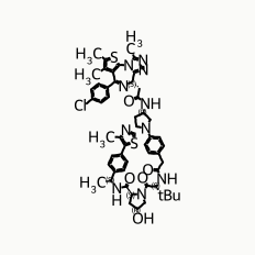 Cc1ncsc1-c1ccc([C@H](C)NC(=O)[C@@H]2C[C@@H](O)CN2C(=O)[C@@H](NC(=O)Cc2ccc(N3CC[C@@H](NC(=O)C[C@@H]4N=C(c5ccc(Cl)cc5)c5c(sc(C)c5C)-n5c(C)nnc54)C3)cc2)C(C)(C)C)cc1